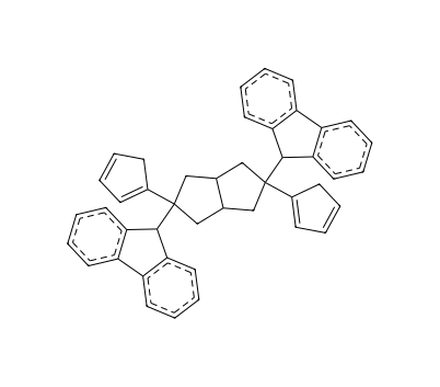 C1=CCC(C2(C3c4ccccc4-c4ccccc43)CC3CC(C4=CC=CC4)(C4c5ccccc5-c5ccccc54)CC3C2)=C1